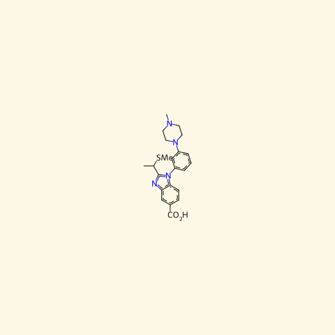 CSC(C)c1nc2cc(C(=O)O)ccc2n1-c1cccc(N2CCN(C)CC2)c1